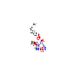 CC(C)CCCC(C)C1CCC2C3CC=C4CC(OC(=O)CCC(=O)N(CCCC(C)(C)NC(=O)OC(C)(C)C)CCC(C)(C)NC(=O)OC(C)(C)C)CCC4(C)C3CCC12C